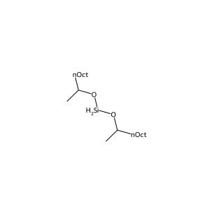 CCCCCCCCC(C)O[SiH2]OC(C)CCCCCCCC